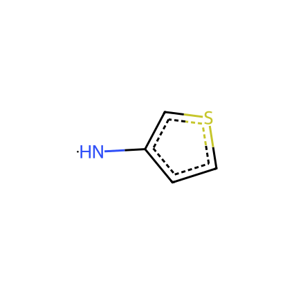 [NH]c1ccsc1